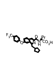 CC(C)[C@H](NC(=O)c1cc2ccc(Oc3ccc(C(F)(F)F)cc3)cc2c(CC2CCCC2)n1)C(=O)O